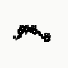 COc1ccc2ncc(Cl)c([C@@H](F)CCC3(C(=O)O)CCN(CCCSc4ccccc4C)CC3)c2c1